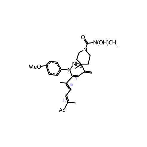 C=C(/C=C(/C(C)=C/C=C(\C)C(C)=O)N(N)c1ccc(OC)cc1)C1(C)CCN(C(=O)N(C)O)CC1